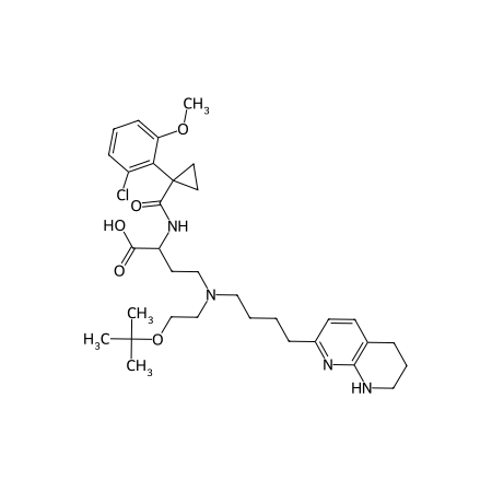 COc1cccc(Cl)c1C1(C(=O)NC(CCN(CCCCc2ccc3c(n2)NCCC3)CCOC(C)(C)C)C(=O)O)CC1